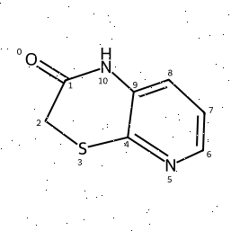 O=C1CSc2ncccc2N1